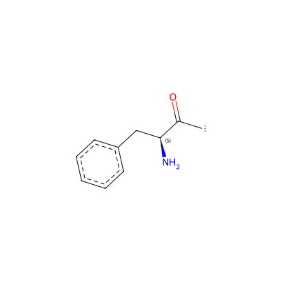 [C]C(=O)[C@@H](N)Cc1ccccc1